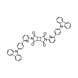 O=C1C2C(C(=O)N1c1cccc(-c3ccc(-n4c5ccccc5c5ccccc54)cc3)n1)C1C(=O)N(c3cccc(-c4ccc(-n5c6ccccc6c6ccccc65)cc4)n3)C(=O)C21